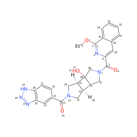 CCOc1nc(C(=O)N2CC3[C@H]4CN(C(=O)c5ccc6[nH]nnc6c5)C[C@H]4C3(O)C2)cc2ccccc12